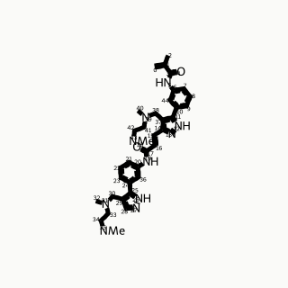 C=C(C)C(=O)Nc1cccc(-c2[nH]nc(/C=C/C(=O)Nc3cccc(-c4[nH]ncc4CN(C)CCNC)c3)c2CN(C)CCNC)c1